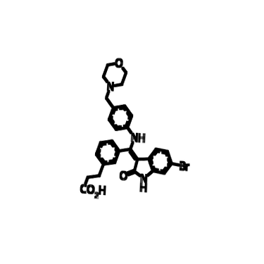 O=C(O)CCc1cccc(C(Nc2ccc(CN3CCOCC3)cc2)=C2C(=O)Nc3cc(Br)ccc32)c1